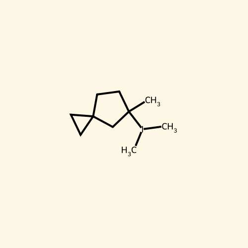 CI(C)C1(C)CCC2(CC2)C1